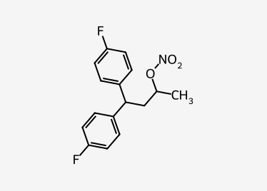 CC(CC(c1ccc(F)cc1)c1ccc(F)cc1)O[N+](=O)[O-]